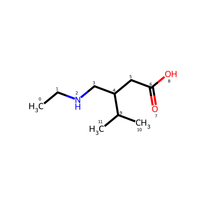 CCNCC(CC(=O)O)C(C)C